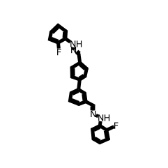 Fc1ccccc1N/N=C/c1ccc(-c2cccc(/C=N/Nc3ccccc3F)c2)cc1